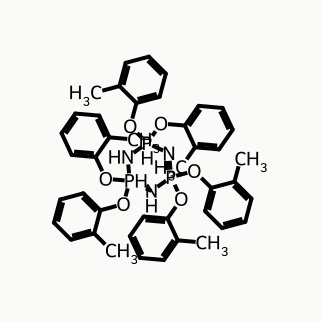 Cc1ccccc1OP1(Oc2ccccc2C)=N[PH](Oc2ccccc2C)(Oc2ccccc2C)N[PH](Oc2ccccc2C)(Oc2ccccc2C)N1